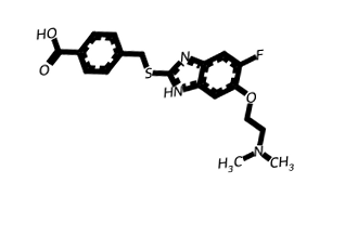 CN(C)CCOc1cc2[nH]c(SCc3ccc(C(=O)O)cc3)nc2cc1F